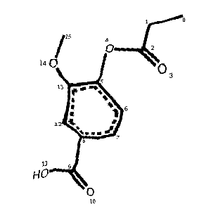 CCC(=O)Oc1ccc(C(=O)O)cc1OC